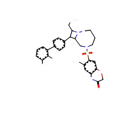 COCC1C(c2ccc(-c3cccc(C)c3C)cc2)[C@@H]2CN(S(=O)(=O)c3cc4c(cc3C)NC(=O)CO4)CCCCN12